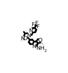 CC(C#N)CN(Cc1ccc(C(F)(F)F)cn1)C(=O)c1ccc2nc(N)c3c(c2c1)CO[C@@H]3C